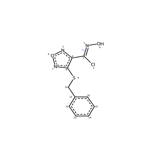 O/N=C(\Cl)c1nonc1SCc1ccccc1